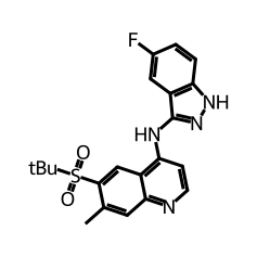 Cc1cc2nccc(Nc3n[nH]c4ccc(F)cc34)c2cc1S(=O)(=O)C(C)(C)C